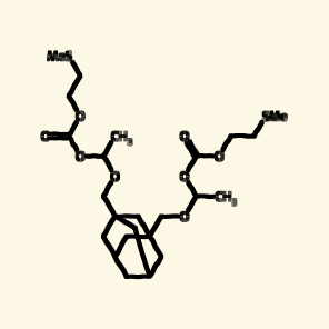 CSCCOC(=O)OC(C)OCC12CC3CC(C1)CC(COC(C)OC(=O)OCCSC)(C3)C2